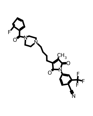 CC1=C(CCCCN2CCN(C(=O)c3ccccc3F)CC2)C(=O)N(c2ccc(C#N)c(C(F)(F)F)c2)C1=O